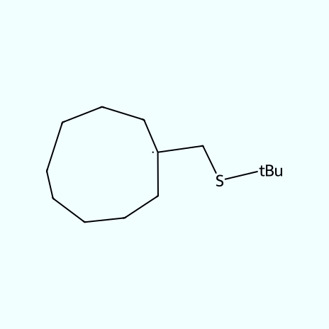 CC(C)(C)SC[C]1CCCCCCCC1